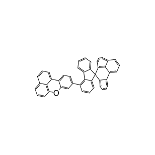 c1ccc2c(c1)-c1c(-c3ccc4c(c3)Oc3cccc5cccc-4c35)cccc1C21c2ccccc2-c2cccc3cccc1c23